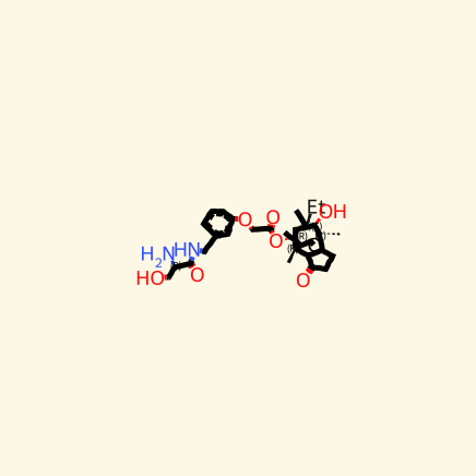 CC[C@]1(C)C[C@@H](OC(=O)COc2cccc(CNC(=O)[C@H](N)CO)c2)[C@]2(C)C(C)CCC3(CCC(=O)C32)[C@@H](C)[C@@H]1O